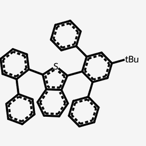 CC(C)(C)c1cc(-c2ccccc2)c(-c2sc(-c3ccccc3-c3ccccc3)c3ccccc23)c(-c2ccccc2)c1